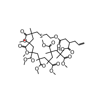 C=CCC(CC(=O)OCCSCC(C)(CC(C)(CC(C)(CC(C)(CC(C)(CC(C)(CC(C)(C)C(=O)OC)C(=O)OC)C(=O)OC)C(=O)OC)C(=O)OC)C(=O)OC)C(=O)OC)C(=O)O